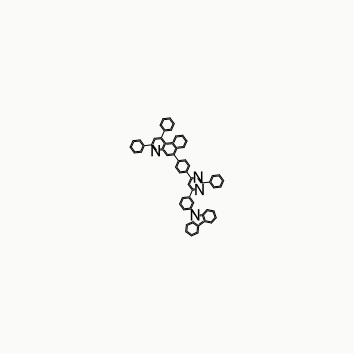 c1ccc(-c2cc(-c3ccccc3)c3c(cc(-c4ccc(-c5cc(-c6cccc(-n7c8ccccc8c8ccccc87)c6)nc(-c6ccccc6)n5)cc4)c4ccccc43)n2)cc1